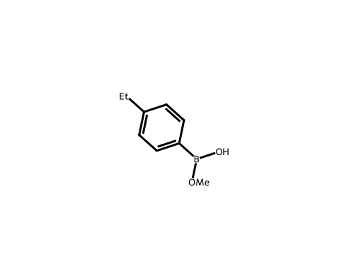 CCc1ccc(B(O)OC)cc1